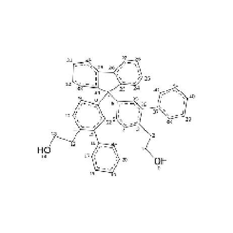 OCCc1ccc(C2(c3ccc(CCO)c(-c4ccccc4)c3)c3ccccc3-c3ccccc32)cc1-c1ccccc1